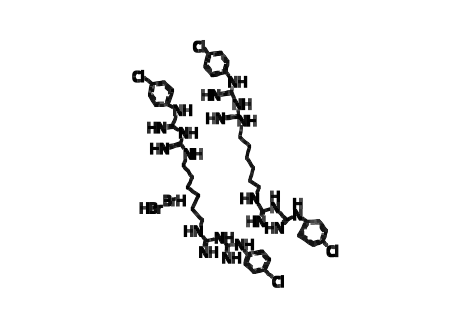 Br.Br.N=C(NCCCCCCNC(=N)NC(=N)Nc1ccc(Cl)cc1)NC(=N)Nc1ccc(Cl)cc1.N=C(NCCCCCCNC(=N)NC(=N)Nc1ccc(Cl)cc1)NC(=N)Nc1ccc(Cl)cc1